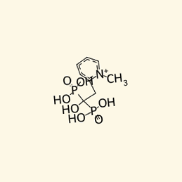 C[n+]1ccccc1CC(O)(P(=O)(O)O)P(=O)(O)O